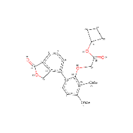 COc1ccc(-c2cccc3c2COC3=O)c(OCC(=O)OC2CCC2)c1OC